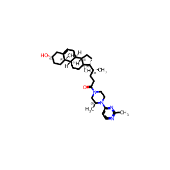 Cc1nccc(N2CCN(C(=O)CC[C@@H](C)[C@H]3CC[C@H]4[C@@H]5CC=C6C[C@@H](O)CC[C@]6(C)[C@H]5CC[C@]34C)C[C@@H]2C)n1